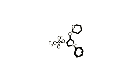 O=S(=O)([O-])C(F)(F)F.c1ccc([S+]2CCC(OC3CCCCO3)C2)cc1